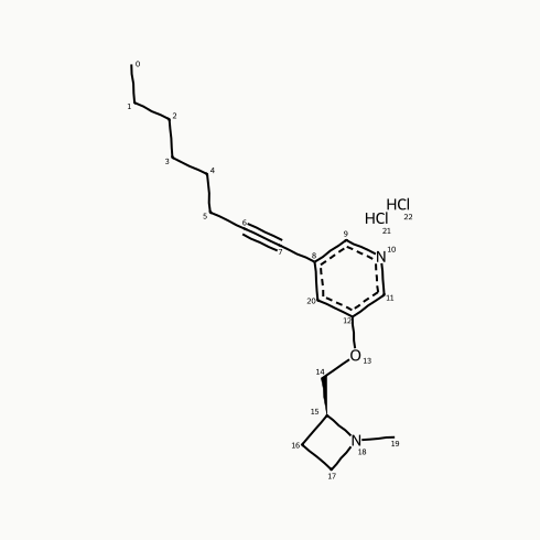 CCCCCCC#Cc1cncc(OC[C@@H]2CCN2C)c1.Cl.Cl